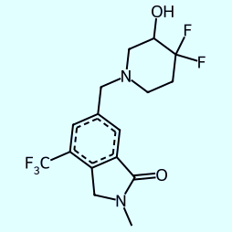 CN1Cc2c(cc(CN3CCC(F)(F)C(O)C3)cc2C(F)(F)F)C1=O